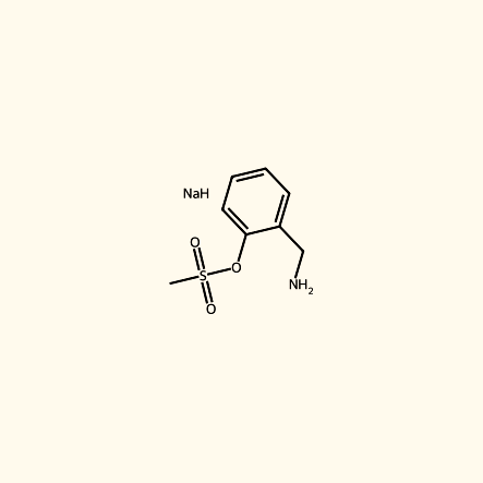 CS(=O)(=O)Oc1ccccc1CN.[NaH]